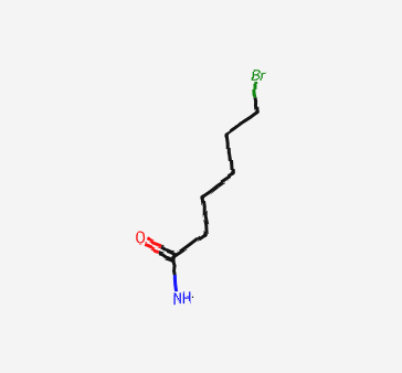 [NH]C(=O)CCCCCBr